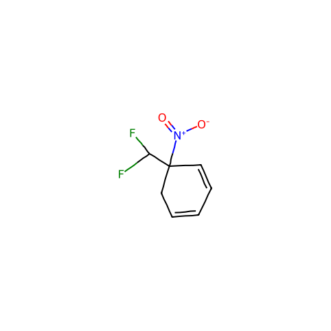 O=[N+]([O-])C1(C(F)F)C=CC=CC1